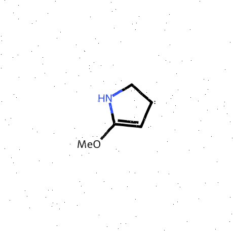 COC1=C[C]CN1